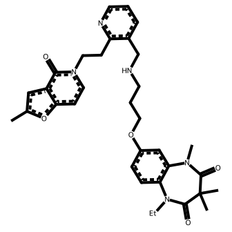 CCN1C(=O)C(C)(C)C(=O)N(C)c2cc(OCCCNCc3cccnc3CCn3ccc4oc(C)cc4c3=O)ccc21